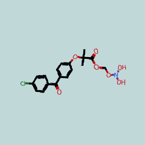 CC(C)(Oc1ccc(C(=O)c2ccc(Cl)cc2)cc1)C(=O)OCON(O)O